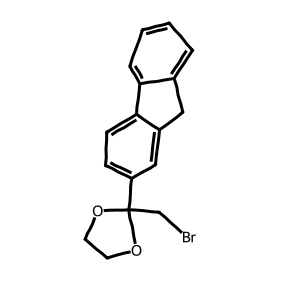 BrCC1(c2ccc3c(c2)Cc2ccccc2-3)OCCO1